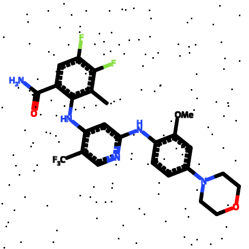 COc1cc(N2CCOCC2)ccc1Nc1cc(Nc2c(C(N)=O)cc(F)c(F)c2C)c(C(F)(F)F)cn1